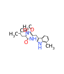 COc1c(Cc2c[nH]c3c(C)cccc23)[nH]c(=O)c(CC(C)C)[n+]1[O-]